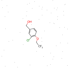 OCc1ccc(OCC(F)(F)F)c(Cl)c1